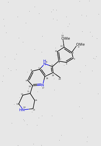 COc1ccc(-c2[nH]c3ccc(C4CCNCC4)nc3c2C)cc1OC